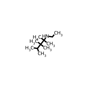 CCNC(C)(C)C(C)(C)C(C)C